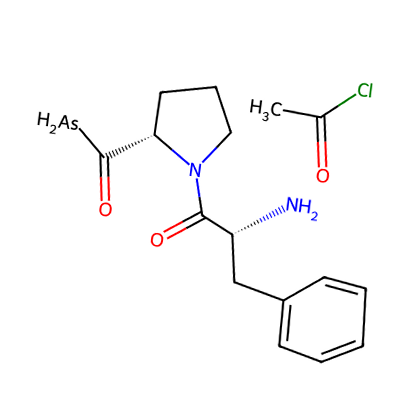 CC(=O)Cl.N[C@H](Cc1ccccc1)C(=O)N1CCC[C@H]1C(=O)[AsH2]